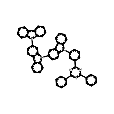 c1ccc(-c2nc(-c3ccccc3)nc(-c3cccc(-n4c5ccccc5c5cc(-n6c7ccccc7c7ccc(-n8c9ccccc9c9ccccc98)cc76)ccc54)c3)n2)cc1